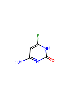 Nc1[c]c(F)[nH]c(=O)n1